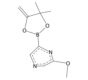 C=C1OB(c2cncc(OC)n2)OC1(C)C